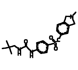 CN1Cc2ccc(CS(=O)(=O)c3ccc(NC(=O)NCC(C)(C)C)cc3)cc2C1